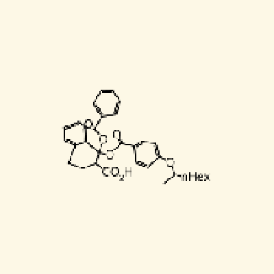 CCCCCC[C@@H](C)Oc1ccc(C(=O)OC2(OC(=O)c3ccccc3)c3ccccc3CCC2C(=O)O)cc1